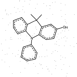 CC1(C)c2ccccc2N(c2ccccc2)c2ccc(O)cc21